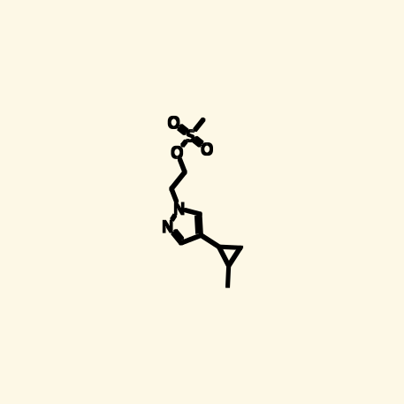 CC1CC1c1cnn(CCOS(C)(=O)=O)c1